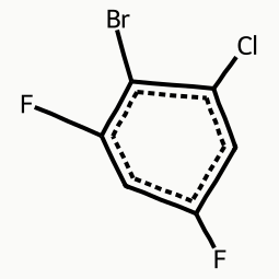 Fc1cc(F)c(Br)c(Cl)c1